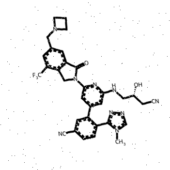 Cn1cnnc1-c1ccc(C#N)cc1-c1cc(NC[C@H](O)CC#N)nc(N2Cc3c(cc(CN4CCC4)cc3C(F)(F)F)C2=O)c1